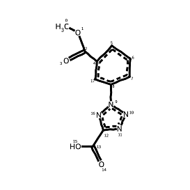 COC(=O)c1cccc(-n2nnc(C(=O)O)n2)c1